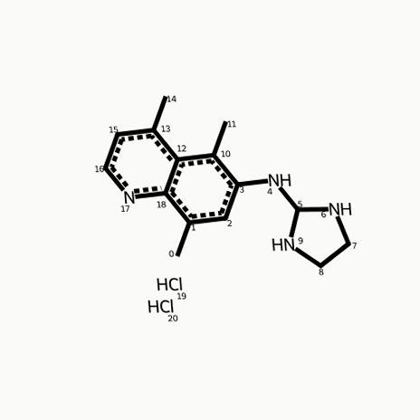 Cc1cc(NC2NCCN2)c(C)c2c(C)ccnc12.Cl.Cl